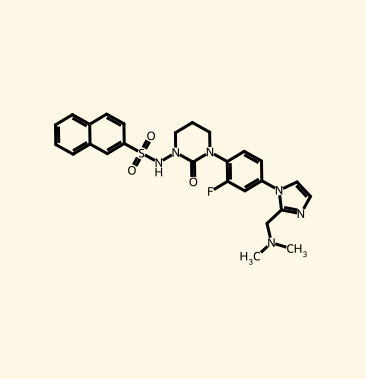 CN(C)Cc1nccn1-c1ccc(N2CCCN(NS(=O)(=O)c3ccc4ccccc4c3)C2=O)c(F)c1